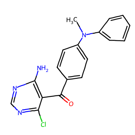 CN(c1ccccc1)c1ccc(C(=O)c2c(N)ncnc2Cl)cc1